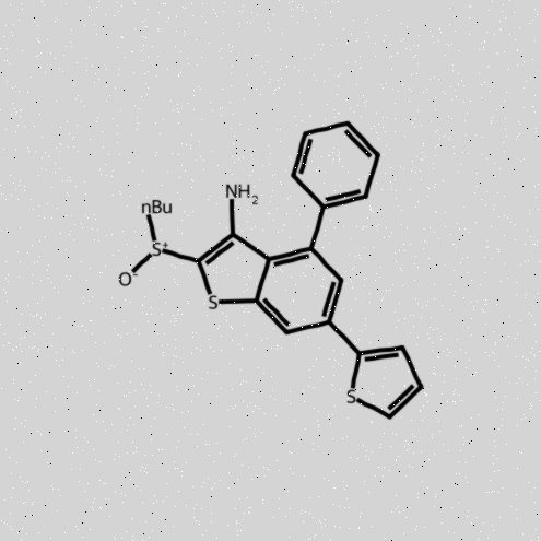 CCCC[S+]([O-])c1sc2cc(-c3cccs3)cc(-c3ccccc3)c2c1N